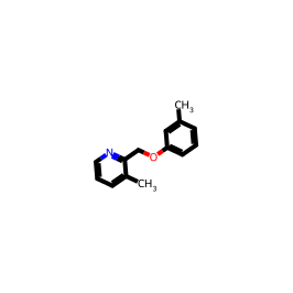 Cc1cccc(OCc2ncccc2C)c1